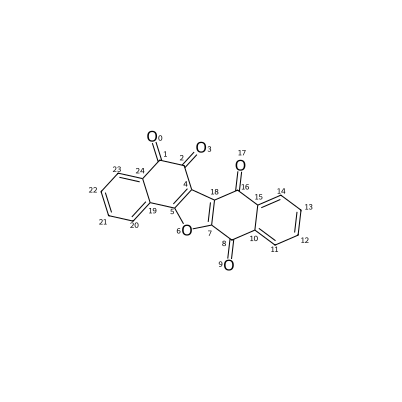 O=c1c(=O)c2c(oc3c(=O)c4ccccc4c(=O)c32)c2ccccc12